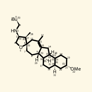 CC[C@H](C)CN[C@@H]1CO[C@]2(CC[C@@H]3C(=C(C)C2)C[C@H]2[C@H]3CC[C@@H]3C[C@@H](OC)CC[C@@]32C)[C@@H]1C